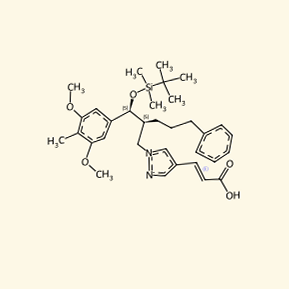 COc1cc([C@@H](O[Si](C)(C)C(C)(C)C)[C@@H](CCCc2ccccc2)Cn2cc(/C=C/C(=O)O)cn2)cc(OC)c1C